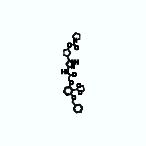 O=C(COc1cccc(OCc2ccccc2)c1C1OCCO1)Nc1cc([C@H]2CC[C@@H](OC(=O)N3CCCC3)C2)[nH]n1